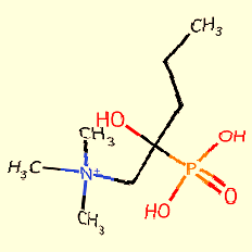 CCCC(O)(C[N+](C)(C)C)P(=O)(O)O